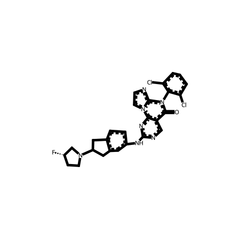 O=c1c2cnc(Nc3ccc4c(c3)CC(N3CC[C@H](F)C3)C4)nc2n2ccnc2n1-c1c(Cl)cccc1Cl